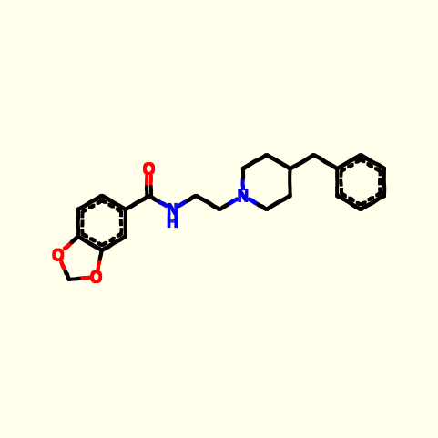 O=C(NCCN1CCC(Cc2ccccc2)CC1)c1ccc2c(c1)OCO2